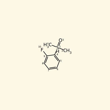 C[SH](C)(=O)c1ccccc1F